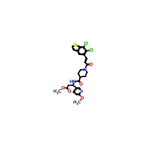 COC(=O)CC(NC(=O)C1CCN(C(=O)C=Cc2cc3ccsc3c(Cl)c2Cl)CC1)c1ccc(OC)nc1